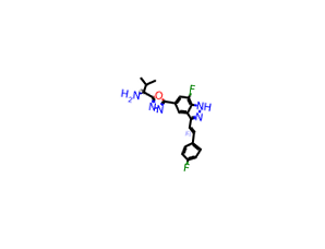 CC(C)[C@H](N)c1nnc(-c2cc(F)c3[nH]nc(/C=C/c4ccc(F)cc4)c3c2)o1